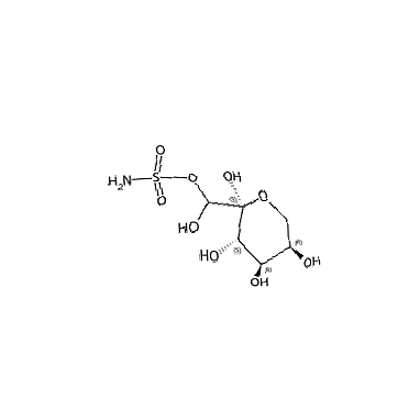 NS(=O)(=O)OC(O)[C@@]1(O)OC[C@@H](O)[C@@H](O)[C@@H]1O